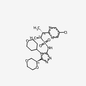 C[C@H](c1ncc(Cl)cn1)[C@H](C)S(=O)(=O)Nc1nnc([C@@H]2COCCO2)n1C1CCOCC1